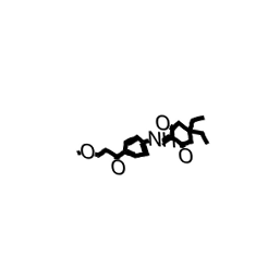 CCC1(CC)CC(=O)C(=CNc2ccc(C(=O)CCOC)cc2)C(=O)C1